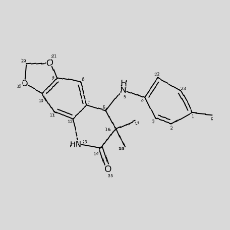 Cc1ccc(NC2c3cc4c(cc3NC(=O)C2(C)C)OCO4)cc1